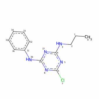 CCCNc1nc(Cl)nc(Nc2ccccc2)n1